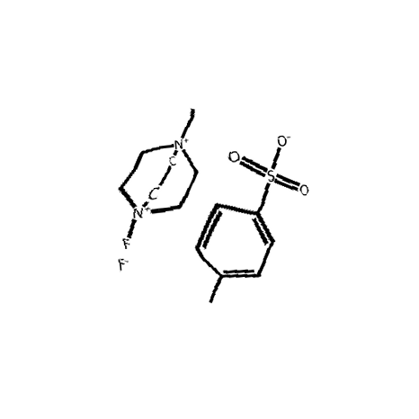 C[N+]12CC[N+](F)(CC1)CC2.Cc1ccc(S(=O)(=O)[O-])cc1.[F-]